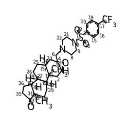 C[C@]12CC[C@](O)(CN3CCN(S(=O)(=O)c4ccc(C(F)(F)F)cc4)CC3)C[C@@H]1CC[C@@H]1[C@@H]2CC[C@]2(C)C(=O)CC[C@@H]12